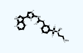 CCN(CCOC)S(=O)(=O)c1cccc(CC(=O)Nc2nc(-c3c[nH]c4ncccc34)cs2)c1